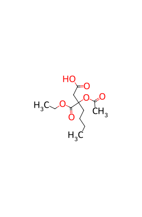 CCCCC(CC(=O)O)(OC(C)=O)C(=O)OCC